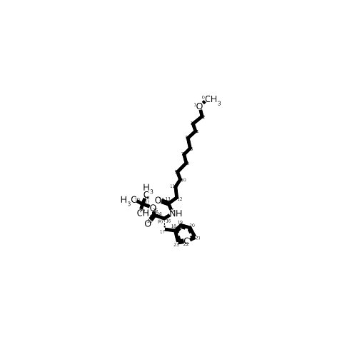 COCCCCCCCCCCCC(=O)N[C@H](Cc1ccccc1)C(=O)OC(C)(C)C